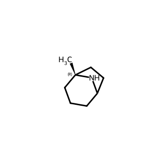 C[C@@]12CCCC(CC1)N2